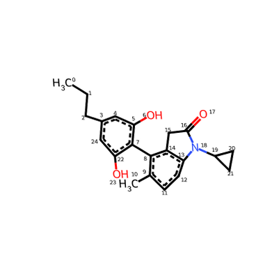 CCCc1cc(O)c(-c2c(C)ccc3c2CC(=O)N3C2CC2)c(O)c1